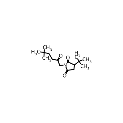 CC(C)(C)CCC(=O)CN1C(=O)CC(C(C)(C)C)C1=O